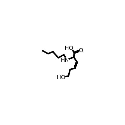 CCCCCNC(/C=C\CCO)C(=O)O